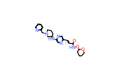 O=C(/C=C/c1cnc(N[C@@H]2CCCN(Cc3ccccn3)C2)cn1)NOC1CCCCO1